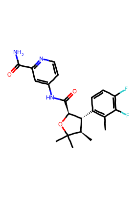 Cc1c([C@@H]2[C@@H](C)C(C)(C)O[C@H]2C(=O)Nc2ccnc(C(N)=O)c2)ccc(F)c1F